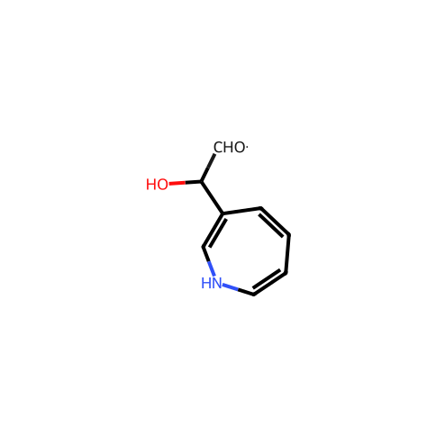 O=[C]C(O)C1=CNC=CC=C1